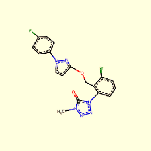 Cn1nnn(-c2cccc(Br)c2COc2ccn(-c3ccc(F)cc3)n2)c1=O